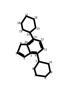 [CH]1C=Cc2c(C3CCCCC3)ccc(C3CCCCC3)c21